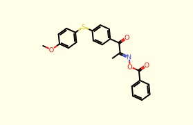 COc1ccc(Sc2ccc(C(=O)/C(C)=N/OC(=O)c3ccccc3)cc2)cc1